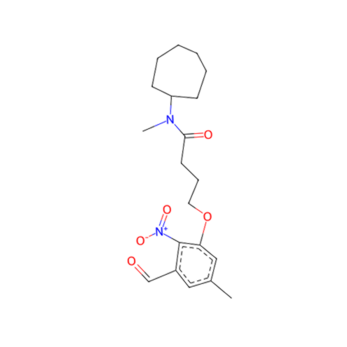 Cc1cc(C=O)c([N+](=O)[O-])c(OCCCC(=O)N(C)C2CCCCCC2)c1